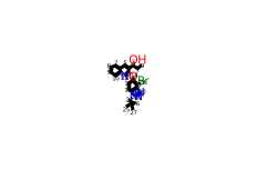 CCC(O)c1cc2ccccc2nc1Oc1ccc2c(nnn2CC(C)(C)C)c1Br